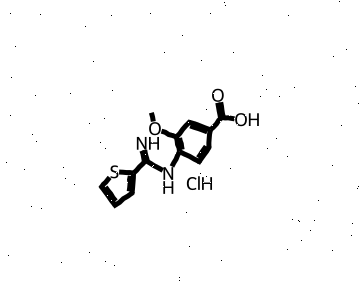 COc1cc(C(=O)O)ccc1NC(=N)c1cccs1.Cl